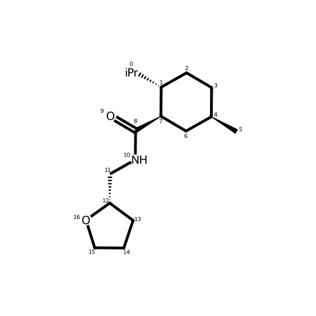 CC(C)[C@@H]1CC[C@@H](C)C[C@H]1C(=O)NC[C@@H]1CCCO1